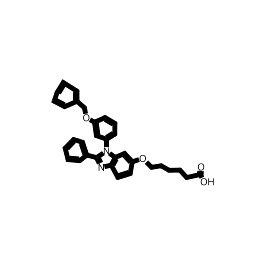 O=C(O)CCCCCOc1ccc2nc(-c3ccccc3)n(-c3cccc(OCc4ccccc4)c3)c2c1